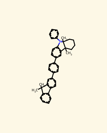 CC1(C)c2ccccc2-c2ccc(-c3ccc(-c4ccc5c(c4)C4(C)CCCCC4(C)N5c4ccccc4)cc3)cc21